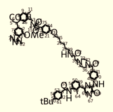 COc1cc(C(CC(=O)O)c2ccc(C)c(CN(C)S(=O)(=O)c3ccc(OCCCCCCNC(=O)CN4CCN(C(=O)c5ccc(Nc6nc(-c7cccc(NC(=O)c8ccc(C(C)(C)C)cc8)c7C)cn(C)c6=O)cc5)CC4)cc3)c2)cc2nnn(C)c12